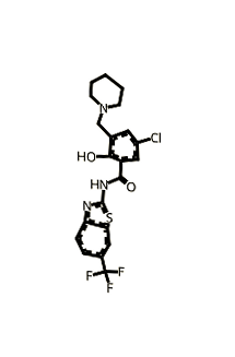 O=C(Nc1nc2ccc(C(F)(F)F)cc2s1)c1cc(Cl)cc(CN2CCCCC2)c1O